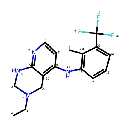 CCN1CNc2nccc(Nc3cccc(C(F)(F)F)c3C)c2C1